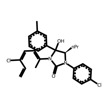 C=C/C(Cl)=C\C=C(/C)N1C(=O)N(c2ccc(Cl)cc2)[C@H](CCC)C1(O)c1cccc(C)c1